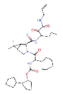 C=CCNC(=O)C(=O)C(CCC)NC(=O)[C@@H]1C2C(CN1C(=O)C(NC(=O)OC1CCCC1C1CCCC1)C1CCCCC1)C2(C)C